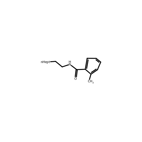 CCCCCCCCCNC(=O)c1ccccc1C